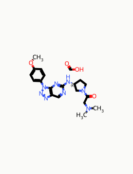 COc1ccc(-n2nnc3cnc(N[C@@H]4CCN(C(=O)CN(C)C)C4)nc32)cc1.O=CO